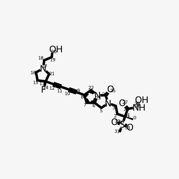 C[C@@](CCN1Cc2cc(C#CC#CC3(F)CCN(CCO)C3)cn2C1=O)(C(=O)NO)S(C)(=O)=O